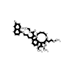 CCOC(=O)c1c(CCCOc2cccc3cc(F)ccc23)c2ccc(Cl)c3c2n1CCCCOC(CCOC)c1nn(C)c(CC)c1-3